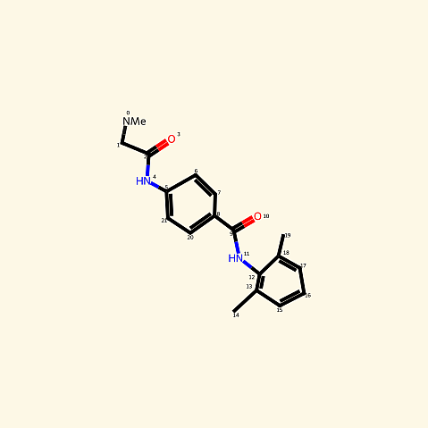 CNCC(=O)Nc1ccc(C(=O)Nc2c(C)cccc2C)cc1